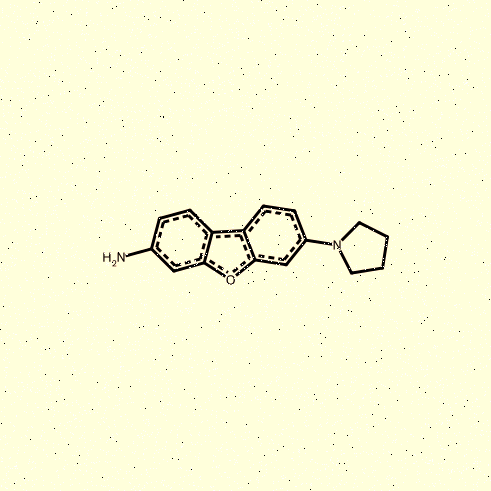 Nc1ccc2c(c1)oc1cc(N3CCCC3)ccc12